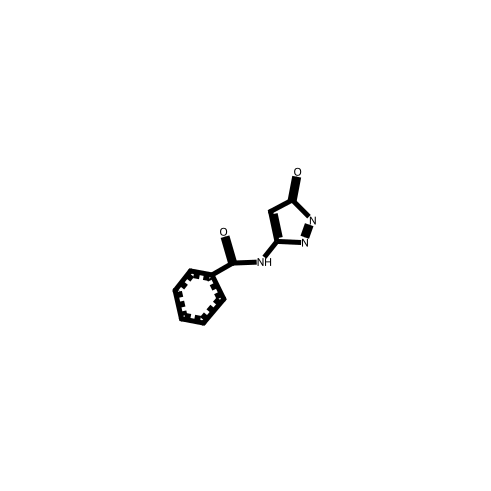 O=C1C=C(NC(=O)c2ccccc2)N=N1